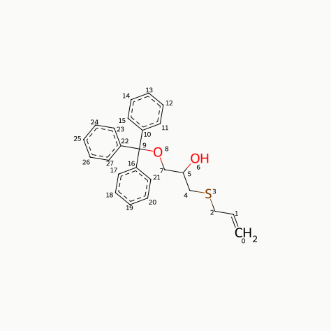 C=CCSCC(O)COC(c1ccccc1)(c1ccccc1)c1ccccc1